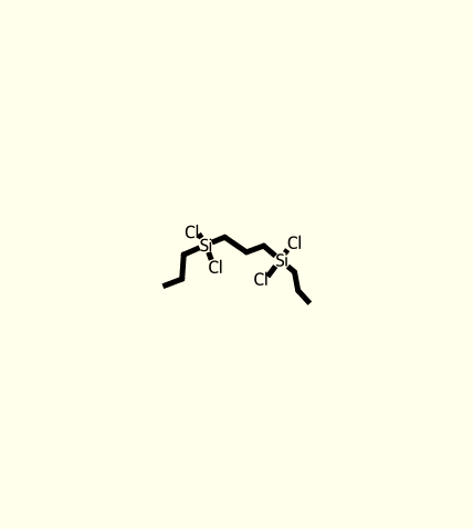 CCC[Si](Cl)(Cl)CCC[Si](Cl)(Cl)CCC